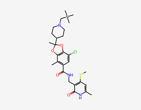 CSc1cc(C)[nH]c(=O)c1CNC(=O)c1cc(Cl)c2c(c1C)OC(C)(C1CCN(C[Si](C)(C)C)CC1)O2